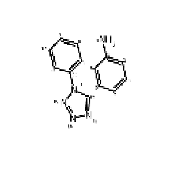 Nc1ccccc1.c1ccc(-n2cnnn2)cc1